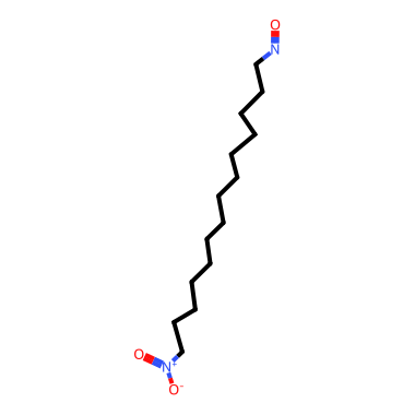 O=NCCCCCCCCCCCCCC[N+](=O)[O-]